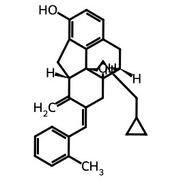 C=C1/C(=C\c2ccccc2C)CC2(O)[C@H]3Cc4ccc(O)c5c4[C@@]2(CCN3CC2CC2)[C@H]1C5